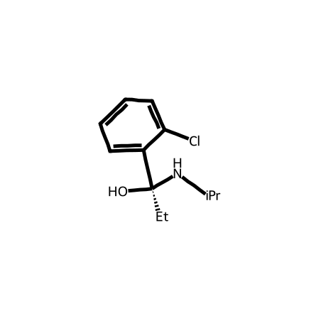 CC[C@@](O)(NC(C)C)c1ccccc1Cl